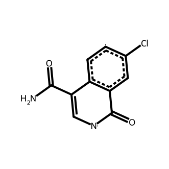 NC(=O)C1=C[N]C(=O)c2cc(Cl)[c]cc21